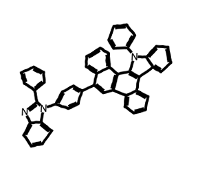 c1ccc(-c2nc3ccccc3n2-c2ccc(-c3cc4c5ccccc5c5c6ccccc6n(-c6ccccc6)c5c4c4ccccc34)cc2)cc1